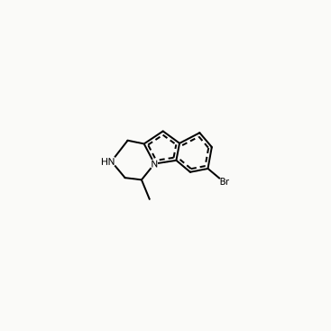 CC1CNCc2cc3ccc(Br)cc3n21